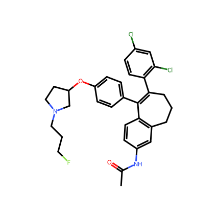 CC(=O)Nc1ccc2c(c1)CCCC(c1ccc(Cl)cc1Cl)=C2c1ccc(OC2CCN(CCCF)C2)cc1